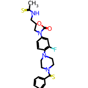 CC(=S)NCC1CN(c2ccc(N3CCN(C(=S)c4ccccc4)CC3)c(F)c2)C(=O)O1